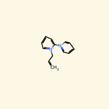 C=CC[n+]1ccccc1-[n+]1ccccc1